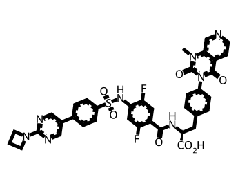 Cn1c(=O)n(-c2ccc(C[C@H](NC(=O)c3cc(F)c(NS(=O)(=O)c4ccc(-c5cnc(N6CCC6)nc5)cc4)cc3F)C(=O)O)cc2)c(=O)c2ccncc21